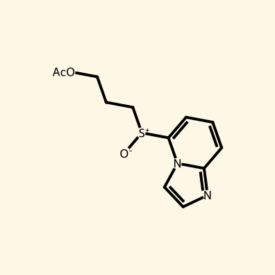 CC(=O)OCCC[S+]([O-])c1cccc2nccn12